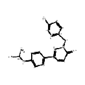 O=c1ccc(-c2ccc(OC(F)P)cc2)nn1Cc1ccc(Cl)cn1